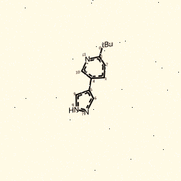 CC(C)(C)c1ccc(-c2cn[nH]c2)cn1